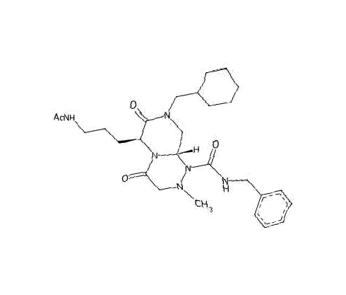 CC(=O)NCCC[C@H]1C(=O)N(CC2CCCCC2)C[C@H]2N1C(=O)CN(C)N2C(=O)NCc1ccccc1